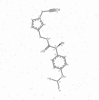 C#CCn1ccc(COC(=O)[C@H](c2ccc(OC(F)F)cc2)C(C)C)c1